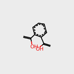 C=C(O)c1ccccc1C(=C)O